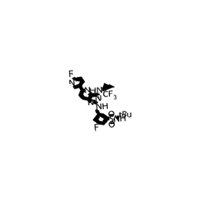 CC(C)(C)NS(=O)(=O)c1cc(F)cc(CNc2nc(NC3(C(F)(F)F)CC3)c3nc(-c4ccc(F)nc4)ccc3n2)c1